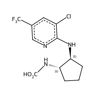 O=C(O)N[C@H]1CCC[C@@H]1Nc1ncc(C(F)(F)F)cc1Cl